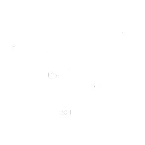 Cl.O=C(NC1CCCNC1)c1cc(OCC(F)(F)F)ccc1OCC(F)(F)F